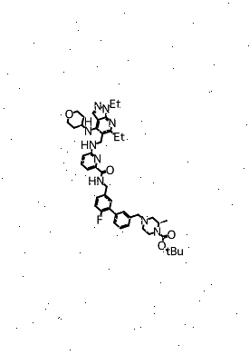 CCc1nc2c(cnn2CC)c(NC2CCOCC2)c1CNc1cccc(C(=O)NCc2ccc(F)c(-c3cccc(CN4CCN(C(=O)OC(C)(C)C)[C@H](C)C4)c3)c2)n1